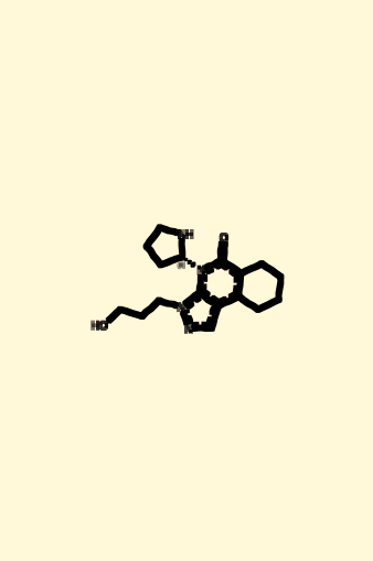 O=c1c2c(c3cnn(CCCO)c3n1[C@@H]1CCCN1)CCCC2